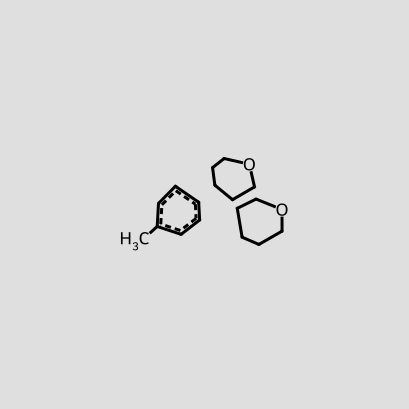 C1CCOCC1.C1CCOCC1.Cc1ccccc1